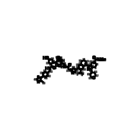 CNC(=O)N1CCc2c(c(N3CCCc4cc(-c5cnn(CC(=O)NCC(=O)N[C@H](C(=O)N6C[C@H](O)C[C@H]6C(=O)NCc6ccc(-c7scnc7C)cc6)C(C)(C)C)c5)c(C(F)F)cc43)nn2C2CCOCC2)C1